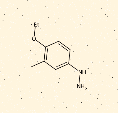 CCOc1ccc(NN)cc1C